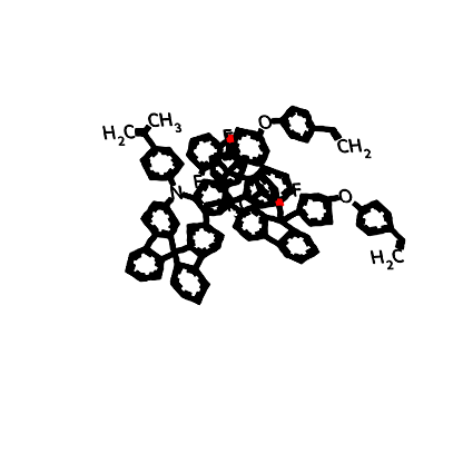 C=Cc1ccc(Oc2ccc(C3(c4c(C)cccc4F)c4ccccc4-c4ccc(C(Cc5ccc6c(c5)C5(c7ccccc7-6)c6ccccc6-c6ccc(N(c7ccc(C(=C)C)cc7)c7ccc8c(c7)C(c7ccc(Oc9ccc(C=C)cc9)cc7)(c7c(F)cccc7F)c7ccccc7-8)cc65)c5ccc(F)cc5)cc43)cc2)cc1